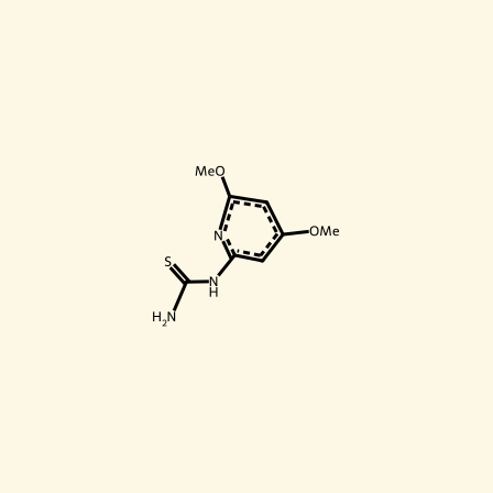 COc1cc(NC(N)=S)nc(OC)c1